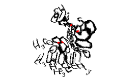 COc1ccc(CN(Cc2ccc(OC)cc2)S(=O)(=O)c2c(S(=O)(=O)NCCN(C(=O)O)C(C)(C)C)ccc(-c3cccc4sc(C#N)nc34)c2-c2nnn(Cc3ccc(OC)cc3)n2)cc1